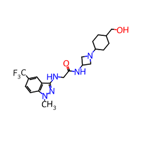 Cn1nc(NCC(=O)NC2CN(C3CCC(CO)CC3)C2)c2cc(C(F)(F)F)ccc21